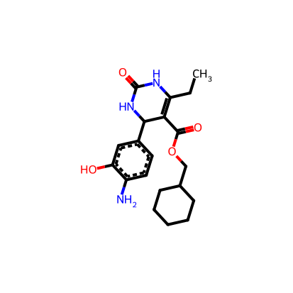 CCC1=C(C(=O)OCC2CCCCC2)C(c2ccc(N)c(O)c2)NC(=O)N1